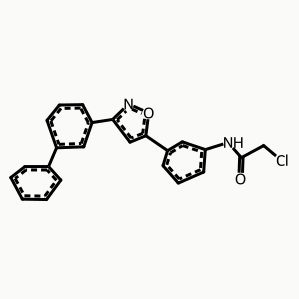 O=C(CCl)Nc1cccc(-c2cc(-c3cccc(-c4ccccc4)c3)no2)c1